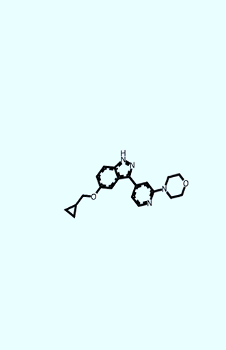 c1cc(-c2n[nH]c3ccc(OCC4CC4)cc23)cc(N2CCOCC2)n1